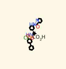 O=C(Nc1cccc([C@@H]2C[C@]2(NS(=O)(=O)C2(Cl)C=CC(c3ccccc3)=CC2)C(=O)O)c1)c1ccccn1